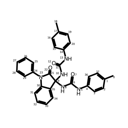 Cc1ccc(NC(=O)NC2(NC(=O)Nc3ccc(C)cc3)C(=O)N(c3ccccc3)c3ccccc32)cc1